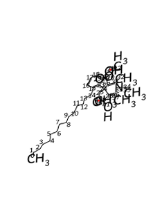 CCCCCCCCCCCCCCCc1cccc(OCC)c1C1(CC)C(C(=O)O)=C(C)N(CC)C(C)=C1C(=O)O